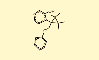 CC1(C)C(C)(C)C1(COc1ccccc1)c1ccccc1O